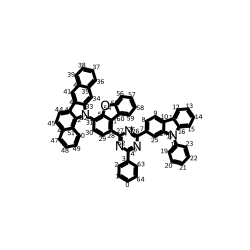 c1ccc(-c2nc(-c3ccc4c5ccccc5n(-c5ccccc5)c4c3)nc(-c3ccc(-n4c5cc6ccccc6cc5c5ccc6ccccc6c54)c4oc5ccccc5c34)n2)cc1